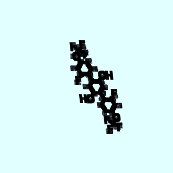 Oc1cc(-c2ccc(OC(F)(F)F)cc2F)c(O)cc1-c1ccc(OC(F)(F)F)cc1F